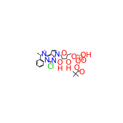 C[C@H](c1ccccc1)N(C)c1nc(Cl)nc2c1ccn2[C@@H]1OC(COCP(=O)(O)OCOC(=O)C(C)(C)C)[C@@H](O)[C@H]1O